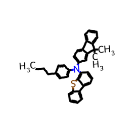 CCCCc1ccc(N(c2ccc3c(c2)C(C)(C)c2ccccc2-3)c2cccc3c2sc2ccccc23)cc1